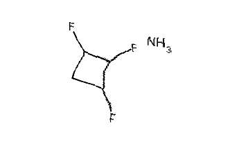 FC1CC(F)C1F.N